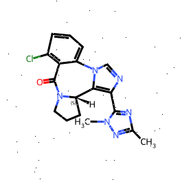 Cc1nc(-c2ncn3c2[C@@H]2CCCN2C(=O)c2c(Cl)cccc2-3)n(C)n1